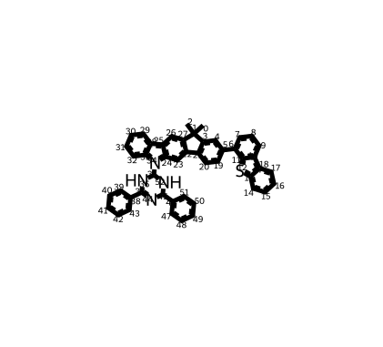 CC1(C)c2cc(-c3cccc4c3sc3ccccc34)ccc2-c2cc3c(cc21)c1ccccc1n3C1NC(c2ccccc2)=NC(c2ccccc2)N1